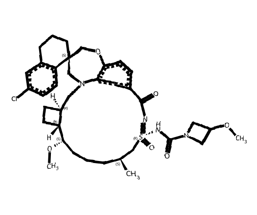 COC1CN(C(=O)N[S@@]2(=O)=NC(=O)c3ccc4c(c3)N(C[C@@H]3CC[C@H]3[C@@H](OC)CCC[C@H](C)C2)C[C@@]2(CCCc3cc(Cl)ccc32)CO4)C1